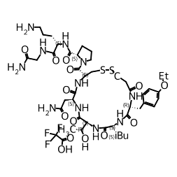 CCOc1ccc(C[C@H]2NC(=O)CCSSC[C@@H](C(=O)N3CCC[C@H]3C(=O)N[C@@H](CCCN)C(=O)NCC(N)=O)NC(=O)[C@H](CC(N)=O)NC(=O)[C@H]([C@@H](C)O)NC(=O)[C@H]([C@@H](C)CC)NC2=O)cc1.O=C(O)C(F)(F)F